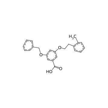 Cc1ccccc1CCOc1cc(OCc2ccccc2)cc(C(=O)O)c1